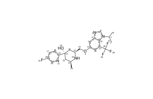 CC(C)n1cnc2cc(OC[C@@H]3C[C@](O)(c4ccc(F)cn4)C[C@H](C)N3)cc(C(F)(F)F)c21